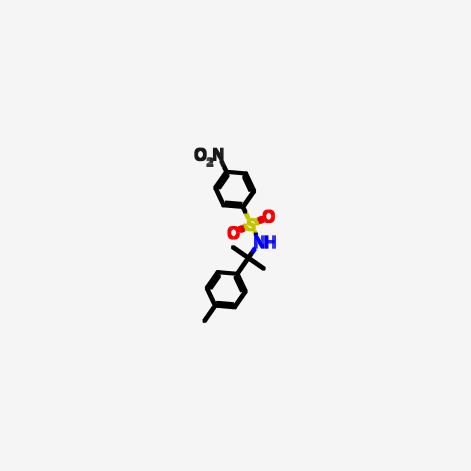 Cc1ccc(C(C)(C)NS(=O)(=O)c2ccc([N+](=O)[O-])cc2)cc1